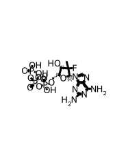 CC1(F)[C@@H](O)[C@@H](COP(=O)(O)OP(=O)(O)OP(=O)(O)O)O[C@H]1n1cnc2c(N)nc(N)nc21